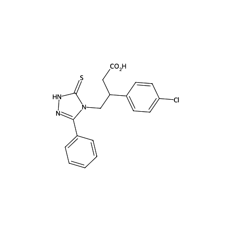 O=C(O)CC(Cn1c(-c2ccccc2)n[nH]c1=S)c1ccc(Cl)cc1